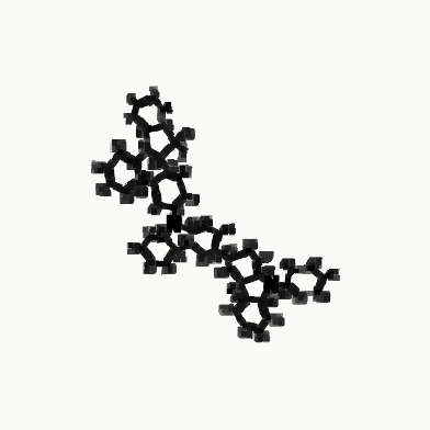 CC1(C)c2ccccc2-c2c1c1ccc(-n3c4ccccc4c4cc(-c5ccc6c(c5)c5ccccc5n6-c5ccccc5)ccc43)cc1c1ccccc21